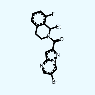 CCC1c2c(F)cccc2CCN1C(=O)c1cc2ncc(Br)cn2n1